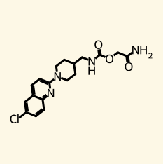 NC(=O)COC(=O)NCC1CCN(c2ccc3cc(Cl)ccc3n2)CC1